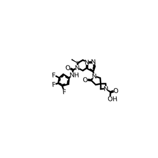 C[C@H]1Cn2ncc(N3CC4(CC3=O)CN(C(=O)O)C4)c2CN1C(=O)Nc1cc(F)c(F)c(F)c1